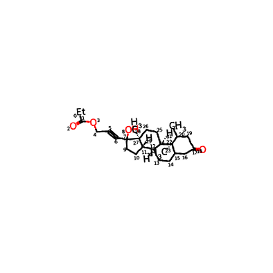 CCC(=O)OCC#CC1(O)CC[C@H]2[C@@H]3CCC4CC(=O)CC(C)[C@]4(C)[C@@H]3CC[C@@]21C